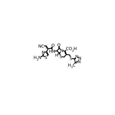 Cn1nnnc1SCC1=C(C(=O)O)N2C(=O)C(NC(=O)/C(=C/C#N)c3csc(N)n3)[C@H]2SC1